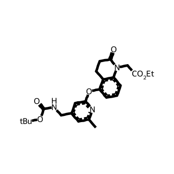 CCOC(=O)CN1C(=O)CCc2c(Oc3cc(CNC(=O)OC(C)(C)C)cc(C)n3)cccc21